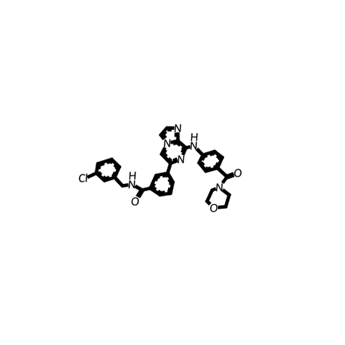 O=C(NCc1cccc(Cl)c1)c1cccc(-c2cn3ccnc3c(Nc3ccc(C(=O)N4CCOCC4)cc3)n2)c1